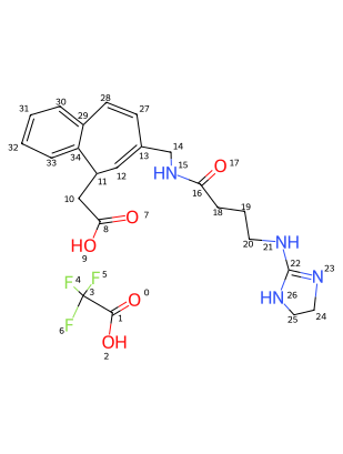 O=C(O)C(F)(F)F.O=C(O)CC1C=C(CNC(=O)CCCNC2=NCCN2)C=Cc2ccccc21